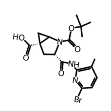 Cc1ccc(Br)nc1NC(=O)[C@@H]1C[C@@]2(C(=O)O)CC2N1C(=O)OC(C)(C)C